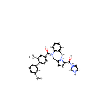 COc1cccc(-c2ccc(C(=O)N3Cc4ccc(C(=O)n5ccnc5)n4Cc4ccccc43)cc2C)c1